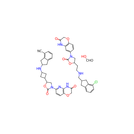 N#Cc1cccc2c1CC(NC1CC(C3CN(c4ccc5c(n4)NC(=O)CO5)C(=O)O3)C1)C2.O=C1COc2ccc(N3CC(CCNCC4Cc5cccc(Cl)c5C4)OC3=O)cc2N1.O=CO